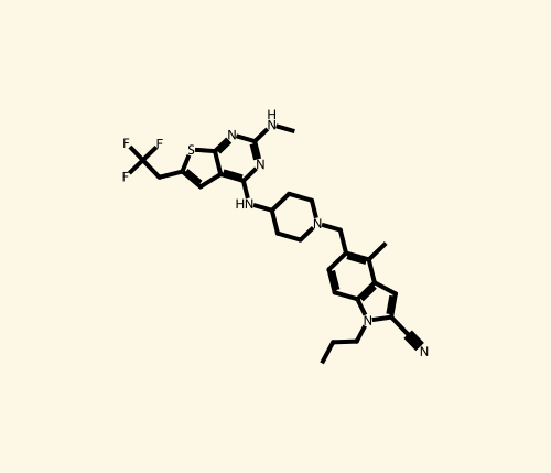 CCCn1c(C#N)cc2c(C)c(CN3CCC(Nc4nc(NC)nc5sc(CC(F)(F)F)cc45)CC3)ccc21